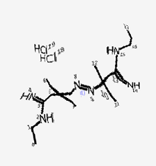 CCNC(=N)C(C)(C)/N=N/C(C)(C)C(=N)NCC.Cl.Cl